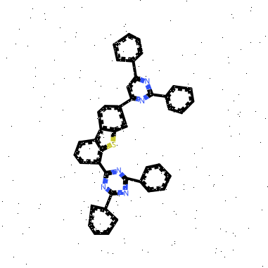 c1ccc(-c2cc(-c3ccc4c(c3)sc3c(-c5nc(-c6ccccc6)nc(-c6ccccc6)n5)cccc34)nc(-c3ccccc3)n2)cc1